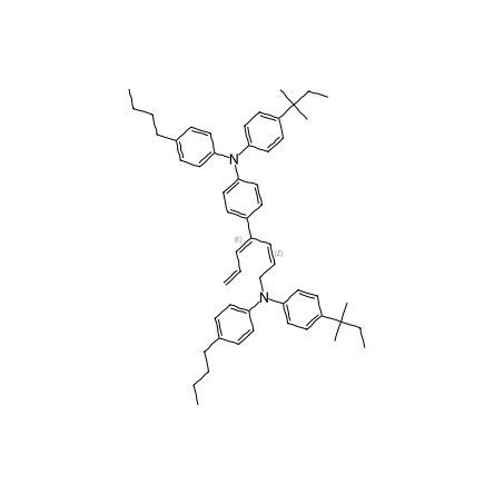 C=C/C=C(\C=C/CN(c1ccc(CCCC)cc1)c1ccc(C(C)(C)CC)cc1)c1ccc(N(c2ccc(CCCC)cc2)c2ccc(C(C)(C)CC)cc2)cc1